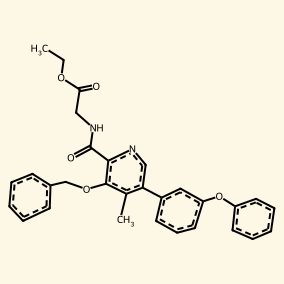 CCOC(=O)CNC(=O)c1ncc(-c2cccc(Oc3ccccc3)c2)c(C)c1OCc1ccccc1